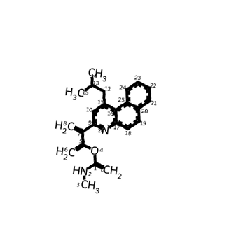 C=C(NC)OC(=C)C(=C)c1cc(CC(C)C)c2c(ccc3ccccc32)n1